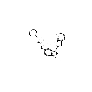 Cn1cc(-c2cc3cccnc3[nH]2)c2cc(CNC(=O)NC3CCCCO3)ccc21